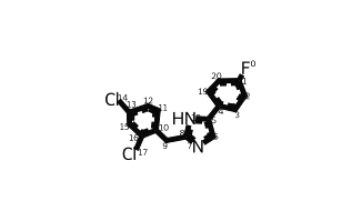 Fc1ccc(-c2cnc(Cc3ccc(Cl)cc3Cl)[nH]2)cc1